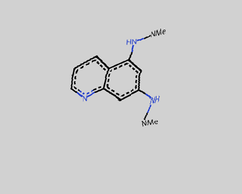 CNNc1cc(NNC)c2cccnc2c1